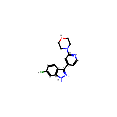 Fc1ccc2c(-c3ccnc(N4CCOCC4)c3)n[nH]c2c1